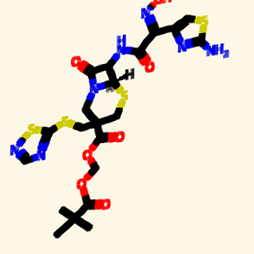 CC(C)(C)C(=O)OCOC(=O)C1(CSc2ncns2)CS[C@@H]2C(NC(=O)C(=NO)c3csc(N)n3)C(=O)N2C1